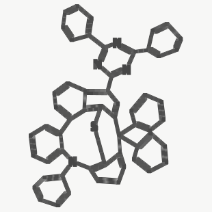 c1ccc(-c2nc(-c3ccccc3)nc(-c3cc4c5c6c(cccc36)-c3ccccc3N(c3ccccc3)c3cccc(c3S5)C4(c3ccccc3)c3ccccc3)n2)cc1